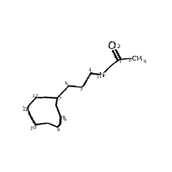 CC(=O)[N]CCCC1CCCCC1